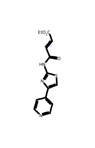 CCOC(=O)/C=C/C(=O)Nc1nc(-c2ccncc2)cs1